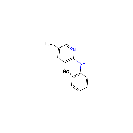 Cc1cnc(Nc2c[c]ccc2)c([N+](=O)[O-])c1